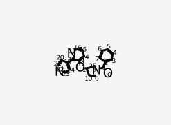 O=C(c1ccccc1)N1CCC(Oc2cccnc2-c2ccncc2)C1